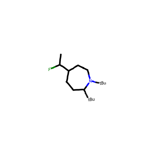 CC(F)C1CCC(C(C)(C)C)N(C(C)(C)C)CC1